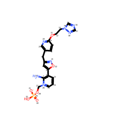 Nc1c(-c2cc(Cc3ccc(OCCn4cncn4)nc3)no2)ccc[n+]1COP(=O)([O-])O